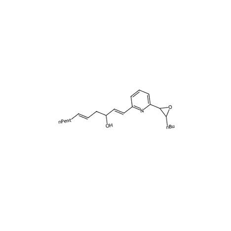 CCCCCC=CCC(O)C=Cc1cccc(C2OC2CCCC)n1